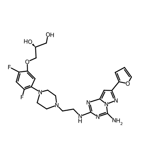 Nc1nc(NCCN2CCN(c3cc(OC[C@@H](O)CO)c(F)cc3F)CC2)nc2cc(-c3ccco3)nn12